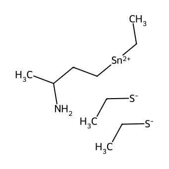 CC[S-].CC[S-].C[CH2][Sn+2][CH2]CC(C)N